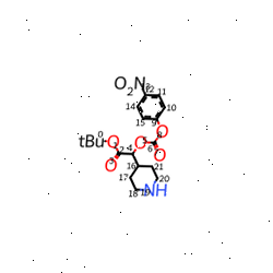 CC(C)(C)OC(=O)C(OC(=O)Oc1ccc([N+](=O)[O-])cc1)C1CCNCC1